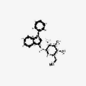 OC[C@H]1O[C@@H](Oc2cn(-c3ccccc3)c3ccccc23)[C@H](O)[C@@H](O)[C@H]1O